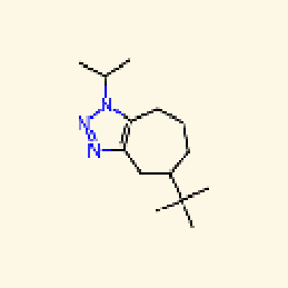 CC(C)n1nnc2c1CCCC(C(C)(C)C)C2